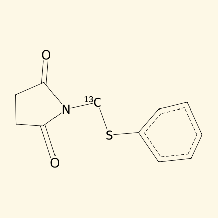 O=C1CCC(=O)N1[13CH2]Sc1ccccc1